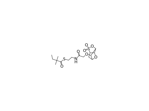 CCC(C)(C)C(=O)SCCNC(=O)COC1C2CC3C(O2)C1OS3(=O)=O